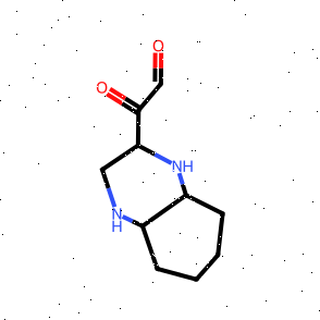 O=CC(=O)C1CNC2CCCCC2N1